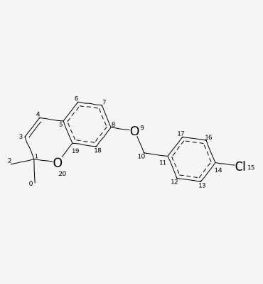 CC1(C)C=Cc2ccc(OCc3ccc(Cl)cc3)cc2O1